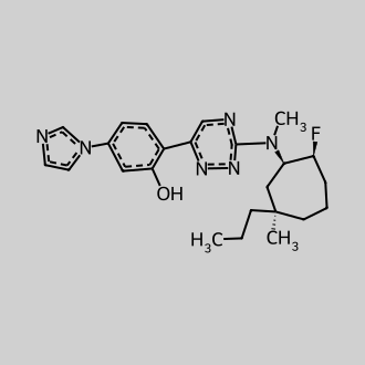 CCC[C@]1(C)CCC[C@H](F)[C@H](N(C)c2ncc(-c3ccc(-n4ccnc4)cc3O)nn2)C1